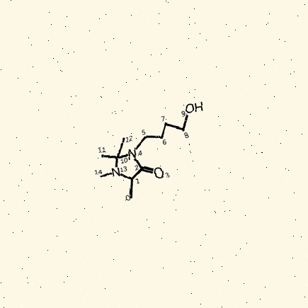 CC1C(=O)N(CCCCO)C(C)(C)N1C